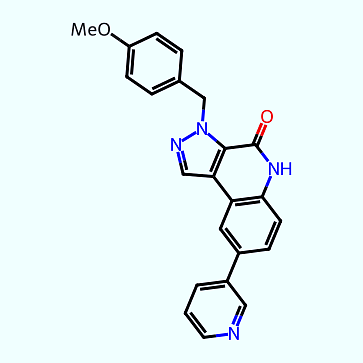 COc1ccc(Cn2ncc3c4cc(-c5cccnc5)ccc4[nH]c(=O)c32)cc1